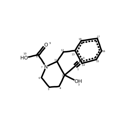 N#CC1(O)CCCN(C(=O)O)C1Cc1ccccc1